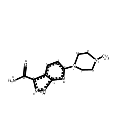 CN1CCN(c2ccc3c(C(N)=O)n[nH]c3n2)CC1